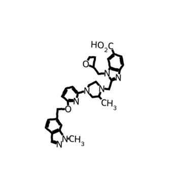 CC1CN(c2cccc(OCc3ccc4cnn(C)c4c3)n2)CCN1Cc1nc2ccc(C(=O)O)cc2n1CC1CCO1